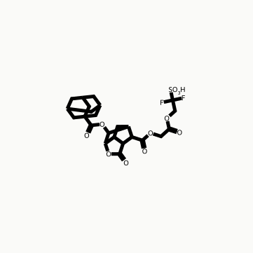 O=C(COC(=O)C1C2CC3C(OC(=O)C31)C2OC(=O)C12CC3CC(CC(C3)C1)C2)OCC(F)(F)S(=O)(=O)O